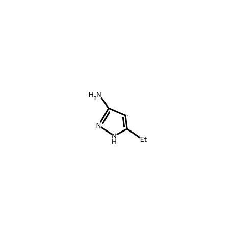 CCc1[c]c(N)n[nH]1